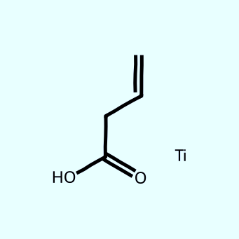 C=CCC(=O)O.[Ti]